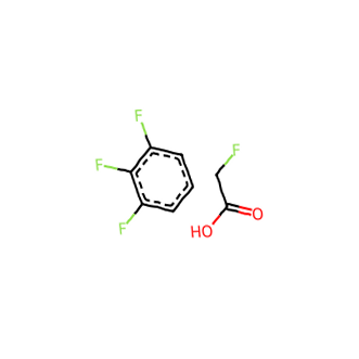 Fc1cccc(F)c1F.O=C(O)CF